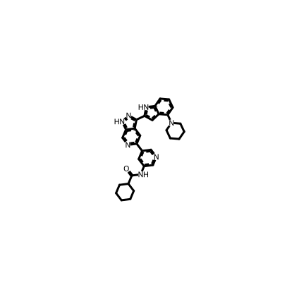 O=C(Nc1cncc(-c2cc3c(-c4cc5c(N6CCCCC6)cccc5[nH]4)n[nH]c3cn2)c1)C1CCCCC1